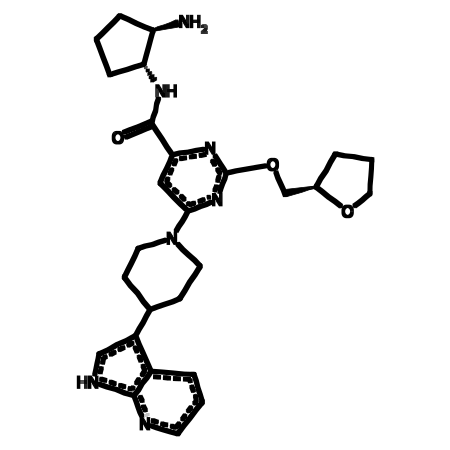 N[C@@H]1CCC[C@H]1NC(=O)c1cc(N2CCC(c3c[nH]c4ncccc34)CC2)nc(OC[C@H]2CCCO2)n1